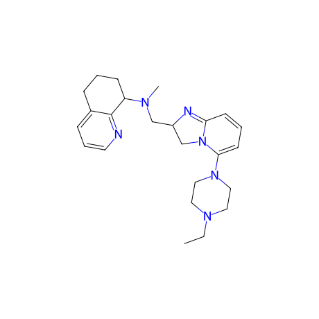 CCN1CCN(C2=CC=CC3=NC(CN(C)C4CCCc5cccnc54)CN23)CC1